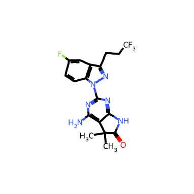 CC1(C)C(=O)Nc2nc(-n3nc(CCC(F)(F)F)c4cc(F)ccc43)nc(N)c21